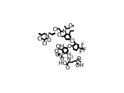 C=CCN(CC=C)C(=O)C(Cl)Cl.CCc1cccc(C)c1N(C(=O)CCl)C(C)COC.CP(=O)(O)CCC(N)C(=O)O.O=C(O)c1cc(Oc2ccc(C(F)(F)F)cc2Cl)ccc1[N+](=O)[O-]